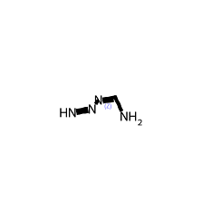 N=N/N=C\N